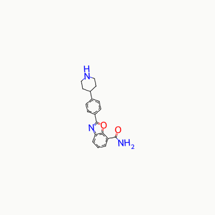 NC(=O)c1cccc2nc(-c3ccc(C4CCNCC4)cc3)oc12